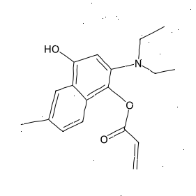 C=CC(=O)Oc1c(N(CC)CC)cc(O)c2cc(C)ccc12